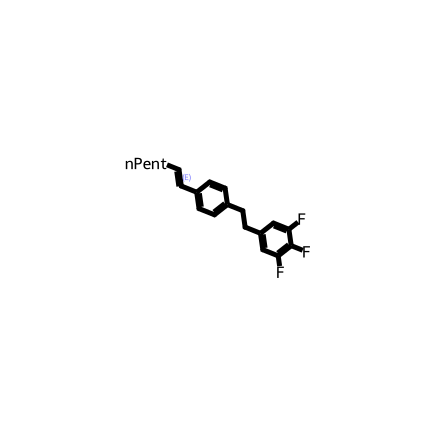 CCCCC/C=C/c1ccc(CCc2cc(F)c(F)c(F)c2)cc1